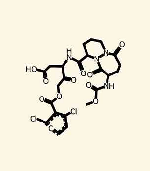 COC(=O)NC1CCC(=O)N2CCCC(C(=O)NC(CC(=O)O)C(=O)COC(=O)c3c(Cl)cccc3Cl)N2C1=O